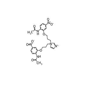 CC(=O)Nc1ccc([N+](=O)[O-])cc1OCCC[N+]1(CCCOc2cc([N+](=O)[O-])ccc2NC(C)=O)C=C[N+]=C1